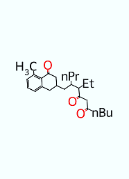 CCCCC(=O)CC(=O)C(CC)C(CCC)CC1CC(=O)c2c(C)cccc2C1